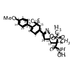 COc1ccc(C2=CC=C(C3=NO[C@@H](C[C@](C)(C(=O)NO)S(C)(=O)=O)C3)CC2(C)F)cc1